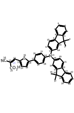 CC1(C)c2ccccc2-c2ccc(N(c3ccc(-c4ccc(/C=C(/C#N)C(=O)O)s4)cc3)c3ccc4c(c3)C(C)(C)c3ccccc3-4)cc21